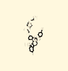 O=C(COc1ccc(C2c3[nH]c4ccc(I)cc4c3CCN2C(=O)Oc2ccc(F)cc2)cc1)N1CCN(CCO)CC1